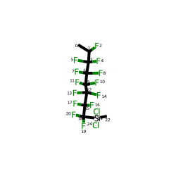 CC(F)C(F)(F)C(F)(F)C(F)(F)C(F)(F)C(F)(F)C(F)(F)[Si](C)(Cl)Cl